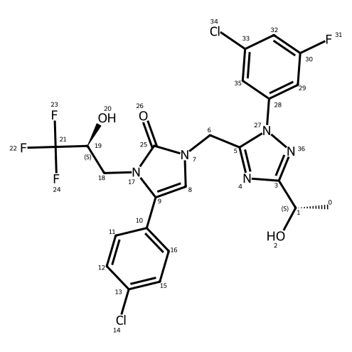 C[C@H](O)c1nc(Cn2cc(-c3ccc(Cl)cc3)n(C[C@H](O)C(F)(F)F)c2=O)n(-c2cc(F)cc(Cl)c2)n1